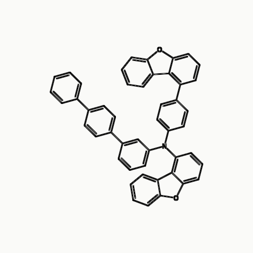 c1ccc(-c2ccc(-c3cccc(N(c4ccc(-c5cccc6oc7ccccc7c56)cc4)c4cccc5oc6ccccc6c45)c3)cc2)cc1